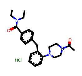 CCN(CC)C(=O)c1ccc(Cc2ccccc2N2CCN(C(C)=O)CC2)cc1.Cl